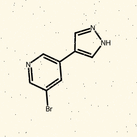 Brc1cncc(-c2cn[nH]c2)c1